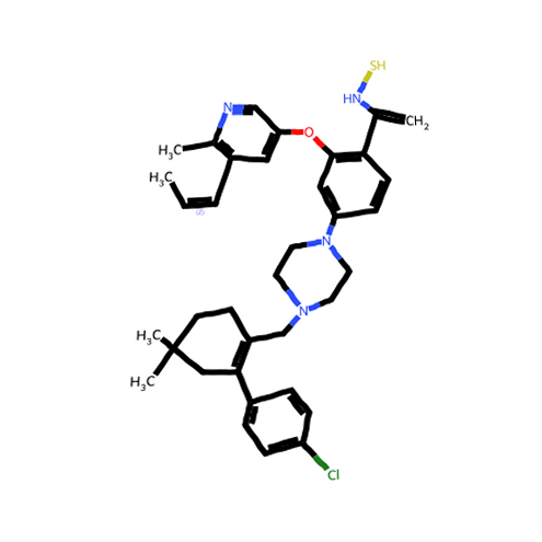 C=C(NS)c1ccc(N2CCN(CC3=C(c4ccc(Cl)cc4)CC(C)(C)CC3)CC2)cc1Oc1cnc(C)c(/C=C\C)c1